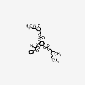 CCCCC(CC)COC(=O)Oc1ccc(OC(=O)OCC(CC)CCCC)c2c1SC(=C(C#N)C(=O)c1ccccc1)S2